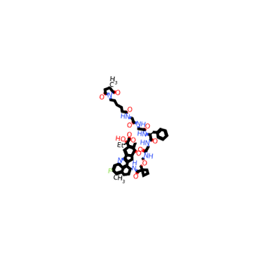 CC[C@@]1(O)C(=O)OCC2=C1C=C1c3nc4cc(F)c(C)c5c4c(c3CC1C2=O)[C@@H](NC(=O)C1(COCNC(=O)CNC(=O)[C@H](Cc2ccccc2)NC(=O)CNC(=O)CNC(=O)CCCCCN2C(=O)CC(C)C2=O)CCC1)CC5